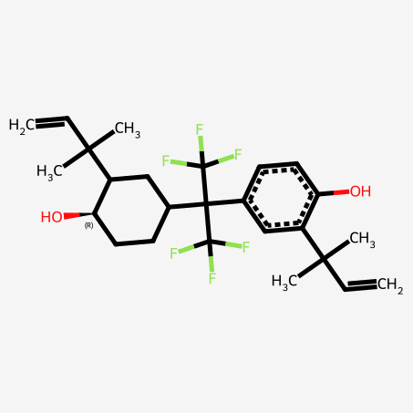 C=CC(C)(C)c1cc(C(C2CC[C@@H](O)C(C(C)(C)C=C)C2)(C(F)(F)F)C(F)(F)F)ccc1O